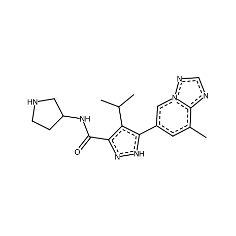 Cc1cc(-c2[nH]nc(C(=O)NC3CCNC3)c2C(C)C)cn2ncnc12